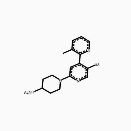 CCc1cnc(N2CCC(NC(C)=O)CC2)cc1-c1ncccc1C